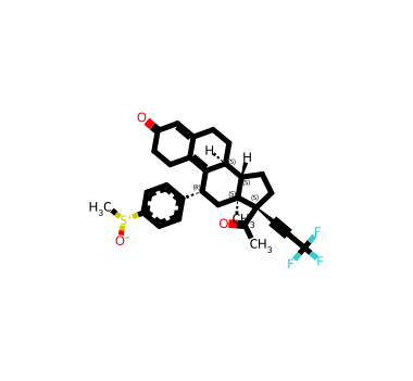 CC(=O)[C@@]1(C#CC(F)(F)F)CC[C@H]2[C@@H]3CCC4=CC(=O)CCC4=C3[C@@H](c3ccc([S+](C)[O-])cc3)C[C@@]21C